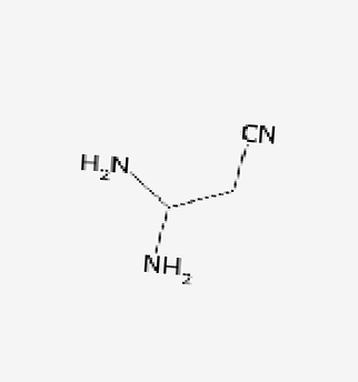 N#CCC(N)N